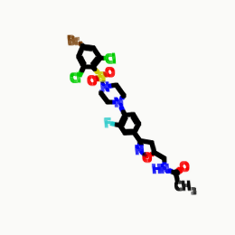 CC(=O)NCC1CC(c2ccc(N3CCN(S(=O)(=O)c4c(Cl)cc(Br)cc4Cl)CC3)c(F)c2)=NO1